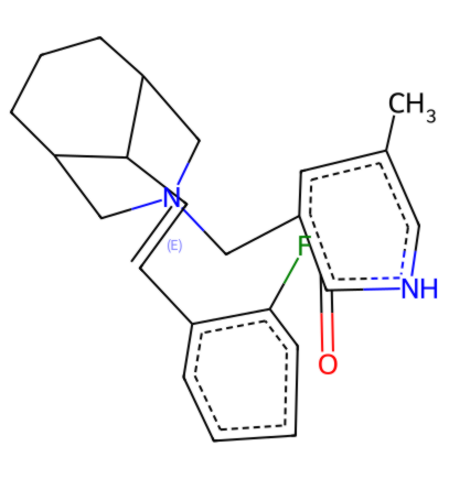 Cc1c[nH]c(=O)c(CN2CC3CCCC(C2)C3/C=C/c2ccccc2F)c1